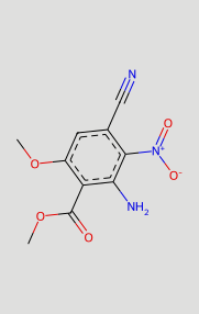 COC(=O)c1c(OC)cc(C#N)c([N+](=O)[O-])c1N